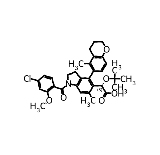 COc1cc(Cl)ccc1C(=O)N1CCc2c1cc(C)c([C@H](OC(C)(C)C)C(=O)O)c2-c1ccc2c(c1C)CCCO2